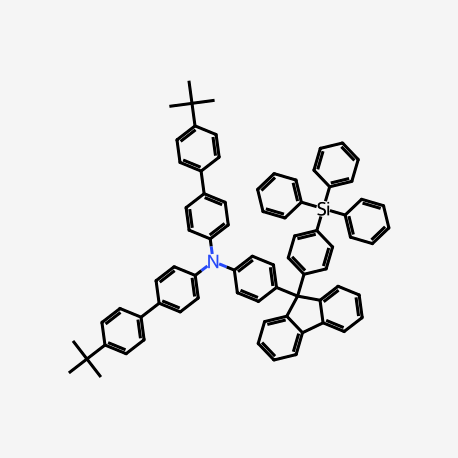 CC(C)(C)c1ccc(-c2ccc(N(c3ccc(-c4ccc(C(C)(C)C)cc4)cc3)c3ccc(C4(c5ccc([Si](c6ccccc6)(c6ccccc6)c6ccccc6)cc5)c5ccccc5-c5ccccc54)cc3)cc2)cc1